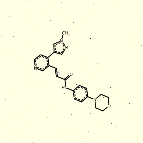 Cn1cc(-c2ccncc2/C=C/C(=O)Nc2ccc(N3CCOCC3)cc2)cn1